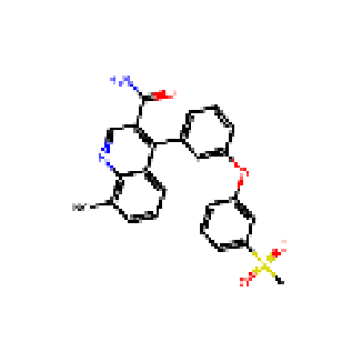 CS(=O)(=O)c1cccc(Oc2cccc(-c3c(C(N)=O)cnc4c(C#N)cccc34)c2)c1